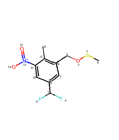 CSOCc1cc(C(F)F)cc([N+](=O)[O-])c1C